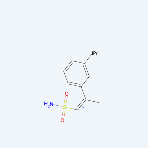 C/C(=C/S(N)(=O)=O)c1cccc(C(C)C)c1